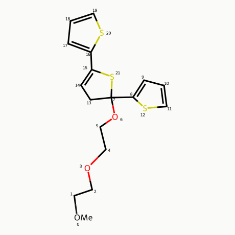 COCCOCCOC1(c2cccs2)CC=C(c2cccs2)S1